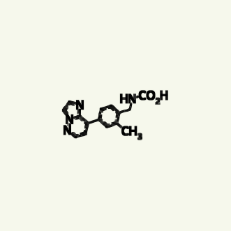 Cc1cc(-c2ccnn3ccnc23)ccc1CNC(=O)O